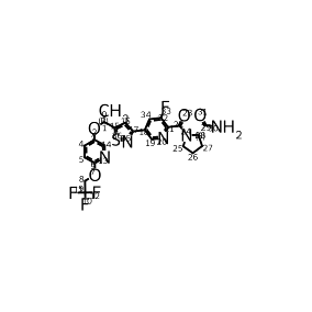 C[C@@H](Oc1ccc(OCC(F)(F)F)nc1)c1cc(-c2cnc(C(=O)N3CCC[C@H]3C(N)=O)c(F)c2)ns1